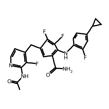 CC(=O)Nc1nccc(Cc2cc(C(N)=O)c(Nc3ccc(C4CC4)cc3F)c(F)c2F)c1F